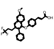 COc1ccc2c(Oc3ccc(C=CC(=O)O)cc3)c(-c3ccccc3)c(CCC(F)(F)F)cc2c1